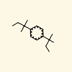 CCC(C)(C)c1ccc(C(C)(S)CC)cc1